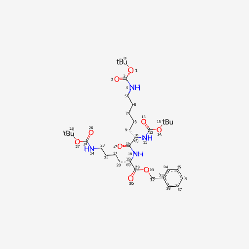 CC(C)(C)OC(=O)NCCCCC[C@H](NC(=O)OC(C)(C)C)C(=O)N[C@@H](CCCCNC(=O)OC(C)(C)C)C(=O)OCc1ccccc1